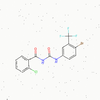 O=C(NC(=O)c1ccccc1Cl)Nc1ccc(Br)c(C(F)(F)F)c1